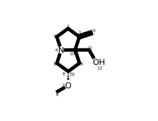 C=C1CCN2C[C@@H](OC)CC12CO